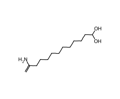 C=C(N)CCCCCCCCCCC(O)O